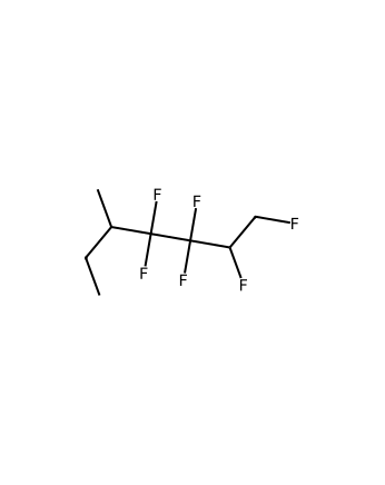 CCC(C)C(F)(F)C(F)(F)C(F)CF